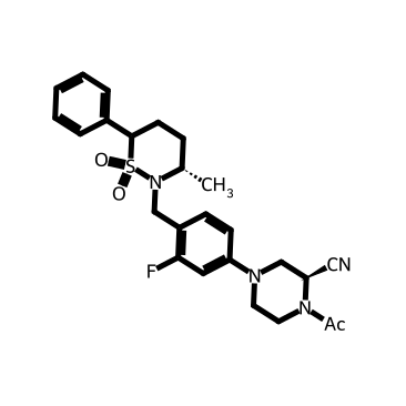 CC(=O)N1CCN(c2ccc(CN3[C@@H](C)CCC(c4ccccc4)S3(=O)=O)c(F)c2)C[C@H]1C#N